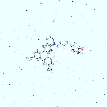 Cc1ccc(-c2nc3c(nc2-c2ccc(C)cc2)N(CCCCC2CC(=O)NO2)CCC3)cc1